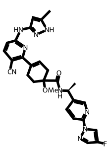 COC1(C(=O)N[C@@H](C)c2ccc(-n3cc(F)cn3)nc2)CC=C(c2nc(Nc3cc(C)[nH]n3)ccc2C#N)CC1